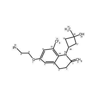 C=C1CCc2cc(OCCC(C)C)cc(C(F)(F)F)c2N1C1CC(C)(O)C1